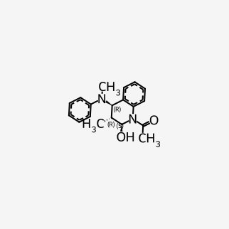 CC(=O)N1c2ccccc2[C@H](N(C)c2ccccc2)[C@@H](C)[C@@H]1O